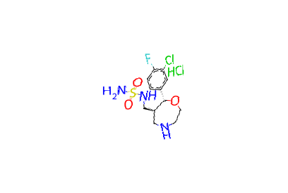 Cl.NS(=O)(=O)NC[C@@H]1CNCCO[C@H]1c1ccc(F)c(Cl)c1